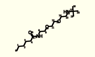 CCCCCC(=O)NCCOCCOCCNC(C)(C)C